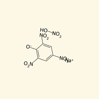 O=[N+]([O-])O.O=[N+]([O-])c1cc([N+](=O)[O-])c([O-])c([N+](=O)[O-])c1.[Na+]